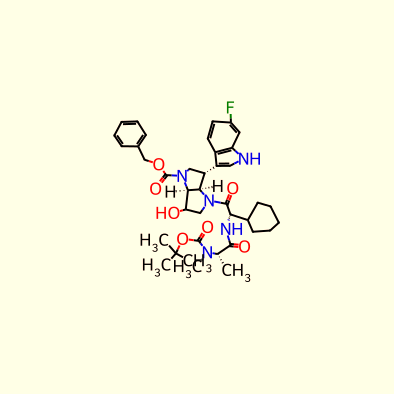 C[C@@H](C(=O)N[C@H](C(=O)N1CC(O)[C@@H]2[C@H]1[C@@H](c1c[nH]c3cc(F)ccc13)CN2C(=O)OCc1ccccc1)C1CCCCC1)N(C)C(=O)OC(C)(C)C